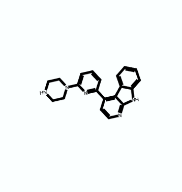 c1cc(-c2ccnc3[nH]c4ccccc4c23)nc(N2CCNCC2)c1